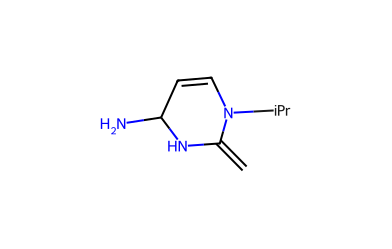 C=C1NC(N)C=CN1C(C)C